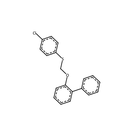 Clc1ccc(SCOc2ccccc2-c2ccccc2)cc1